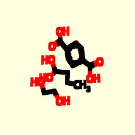 CCCC(O)O.O=C(O)c1ccc(C(=O)O)cc1.OCCO